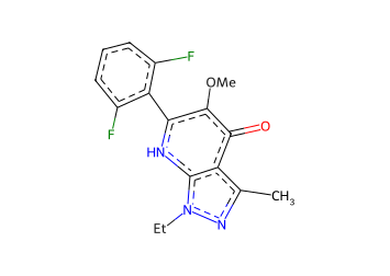 CCn1nc(C)c2c(=O)c(OC)c(-c3c(F)cccc3F)[nH]c21